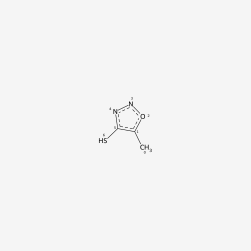 Cc1onnc1S